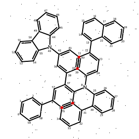 c1ccc(-c2ccc(N(c3ccc(-c4cccc5ccccc45)cc3)c3ccccc3-c3ccccc3)c(-c3cccc(-n4c5ccccc5c5ccccc54)c3)c2)cc1